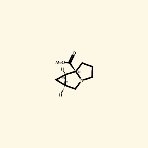 COC(=O)[C@@]12CCCN1C[C@H]1C[C@H]12